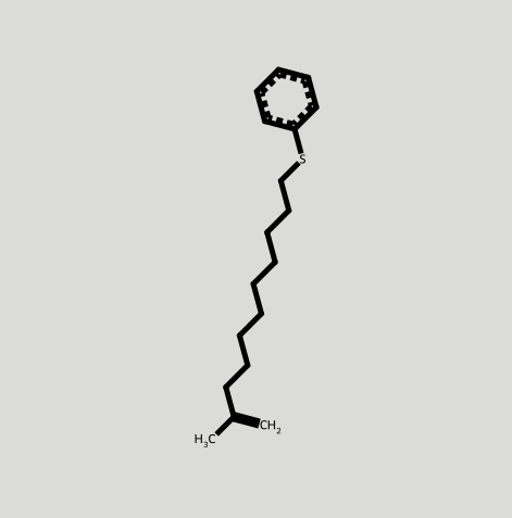 C=C(C)CCCCCCCCCSc1ccccc1